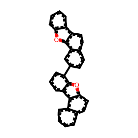 c1ccc2c(c1)ccc1oc3c(-c4ccc5ccc6c7ccccc7oc6c5c4)cccc3c12